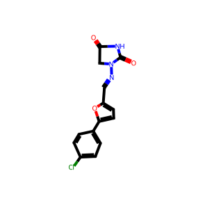 O=C1CN(N=Cc2ccc(-c3ccc(Cl)cc3)o2)C(=O)N1